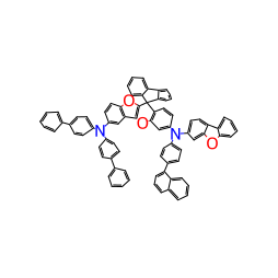 c1ccc(-c2ccc(N(c3ccc(-c4ccccc4)cc3)c3ccc4oc5c(c4c3)Oc3cc(N(c4ccc(-c6cccc7ccccc67)cc4)c4ccc6c(c4)oc4ccccc46)ccc3C53c4ccccc4-c4ccccc43)cc2)cc1